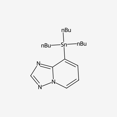 CCC[CH2][Sn]([CH2]CCC)([CH2]CCC)[c]1cccn2ncnc12